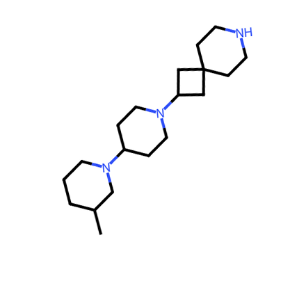 CC1CCCN(C2CCN(C3CC4(CCNCC4)C3)CC2)C1